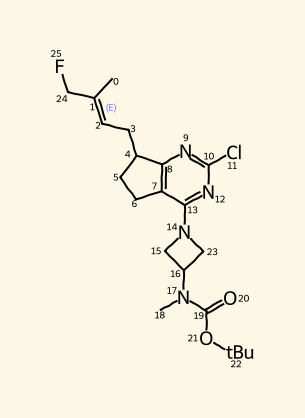 C/C(=C\CC1CCc2c1nc(Cl)nc2N1CC(N(C)C(=O)OC(C)(C)C)C1)CF